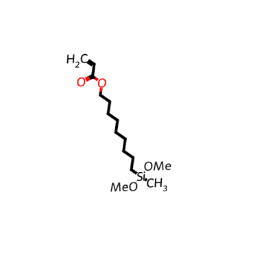 C=CC(=O)OCCCCCCCCC[Si](C)(OC)OC